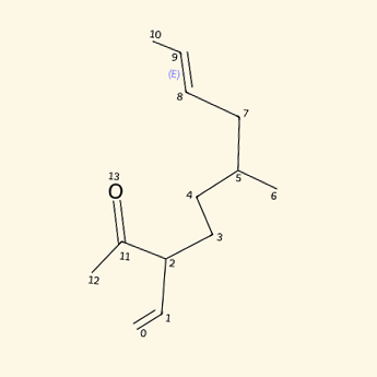 C=CC(CCC(C)C/C=C/C)C(C)=O